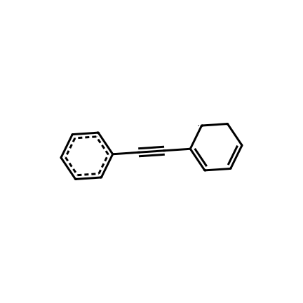 C(#Cc1ccccc1)C1=CC=CC[CH]1